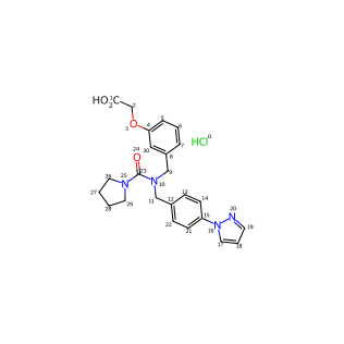 Cl.O=C(O)COc1cccc(CN(Cc2ccc(-n3cccn3)cc2)C(=O)N2CCCC2)c1